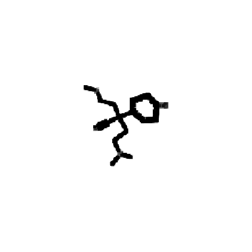 CSCCC(C#N)(CCN(C)C)c1ccccc1.Cl